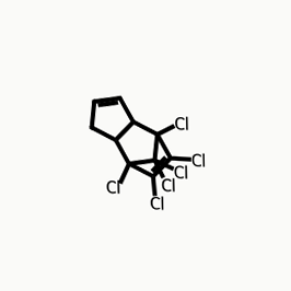 ClC1=C(Cl)C2(Cl)C3CC=CC3C1(Cl)C2(Cl)Cl